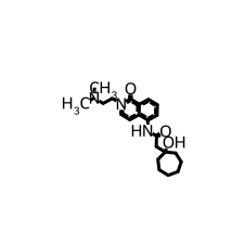 CN(C)CCn1ccc2c(NC(=O)CC3(O)CCCCCC3)cccc2c1=O